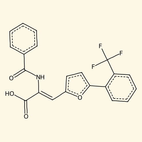 O=C(O)C(=Cc1ccc(-c2ccccc2C(F)(F)F)o1)NC(=O)c1ccccc1